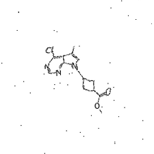 COC(=O)C1CC(n2cc(C)c3c(Cl)ncnc32)C1